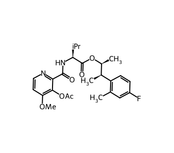 COc1ccnc(C(=O)N[C@H](C(=O)O[C@@H](C)[C@H](C)c2ccc(F)cc2C)C(C)C)c1OC(C)=O